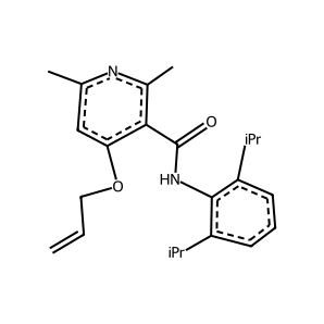 C=CCOc1cc(C)nc(C)c1C(=O)Nc1c(C(C)C)cccc1C(C)C